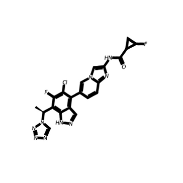 C[C@@H](c1c(F)c(Cl)c(-c2ccc3nc(NC(=O)C4CC4F)cn3c2)c2cn[nH]c12)n1cnnn1